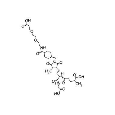 CC(CCC(=O)NC(CSC1C(=O)N(CC2CCC(C(=O)NCCOCCOCCC(=O)O)CC2)C(=O)C1C)C(=O)NCC(=O)O)C(=O)O